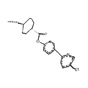 CCCCCC[C@H]1CC[C@H](C(=O)Oc2ccc(-c3ccc(CC)cn3)cc2)CC1